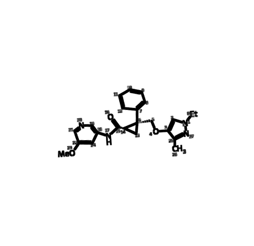 CCn1cc(OC[C@]2(c3ccccc3)C[C@@H]2C(=O)Nc2cncc(OC)c2)c(C)n1